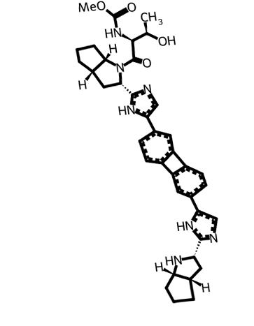 COC(=O)N[C@H](C(=O)N1[C@H](c2ncc(-c3ccc4c(c3)-c3ccc(-c5cnc([C@@H]6C[C@@H]7CCC[C@@H]7N6)[nH]5)cc3-4)[nH]2)C[C@@H]2CCC[C@@H]21)[C@@H](C)O